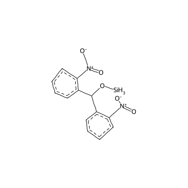 O=[N+]([O-])c1ccccc1C(O[SiH3])c1ccccc1[N+](=O)[O-]